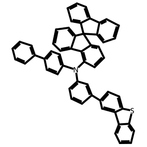 c1ccc(-c2ccc(N(c3cccc(-c4ccc5sc6ccccc6c5c4)c3)c3cccc4c3-c3ccccc3C43c4ccccc4-c4ccccc43)cc2)cc1